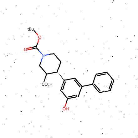 CC(C)(C)OC(=O)N1CC[C@H](c2cc(O)cc(-c3ccccc3)c2)C(C(=O)O)C1